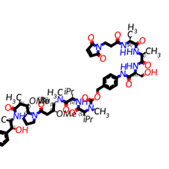 CC[C@H](C)[C@@H]([C@@H](CC(=O)N1CCC[C@H]1[C@H](OC)[C@@H](C)C(=O)N[C@H](C)[C@@H](O)c1ccccc1)OC)N(C)C(=O)[C@@H](NC(=O)[C@H](C(C)C)N(C)C(=O)OCc1ccc(NC(=O)[C@H](CO)NC(=O)[C@H](C)NC(=O)[C@@H](C)NC(=O)CCN2C(=O)C=CC2=O)cc1)C(C)C